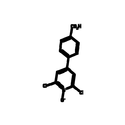 O=C(O)c1ccc(-c2cc(Cl)[n+]([O-])c(Cl)c2)cc1